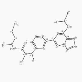 CCC(CCC(F)(F)F)NC(=O)N(CC)C(C)c1cccc(-c2cc(OC(F)F)c3nccn3c2)c1